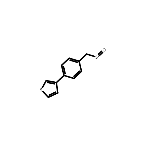 O=[S+]Cc1ccc(-c2ccsc2)cc1